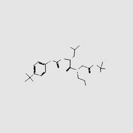 CCCN(CC(=O)OC(C)(C)C)C(=O)[C@H](CC(C)C)OC(=O)Nc1ccc(C(F)(F)F)cc1